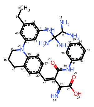 CCc1cc(NC(N)(N)C(N)N)cc(N2CCCc3cc(/C=C(/C(=N)C(=O)O)C(=O)Nc4ccccc4)ccc32)c1